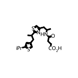 CC(Cc1csc(C(C)Cc2csc(C(C)C)c2)n1)NC(=O)CCC(=O)O